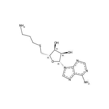 NCCCSC[C@H]1O[C@@H](n2cnc3c(N)ncnc32)[C@H](O)[C@@H]1O